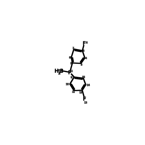 BP(c1ccc(F)cc1)c1ccc(F)cc1